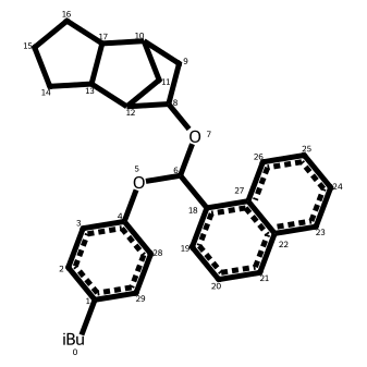 CCC(C)c1ccc(OC(OC2CC3CC2C2CCCC32)c2cccc3ccccc23)cc1